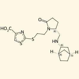 O=C(O)c1csc(SCCN2C(=O)CC[C@@H]2CN[C@@H]2C[C@H]3CC[C@@H]2C3)n1